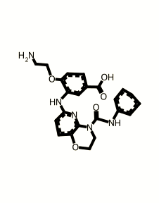 NCCOc1ccc(C(=O)O)cc1Nc1ccc2c(n1)N(C(=O)Nc1ccccc1)CCO2